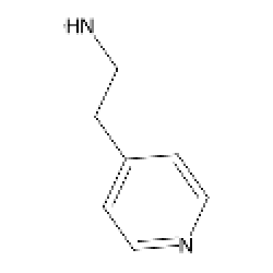 [NH]CCc1ccncc1